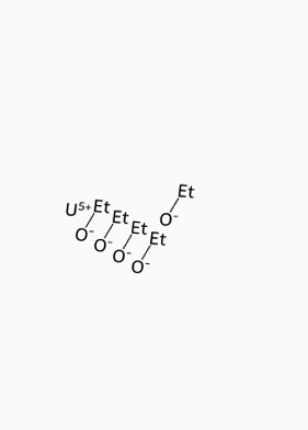 CC[O-].CC[O-].CC[O-].CC[O-].CC[O-].[U+5]